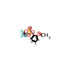 COc1cc[c]cc1OS(=O)(=O)OC(F)(F)F